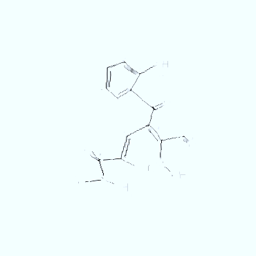 CO/C(C=O)=C(\C=C(C)C(=O)N(C)C)C(=O)c1ccccc1C